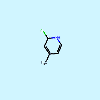 CC1=C[C](Cl)NC=C1